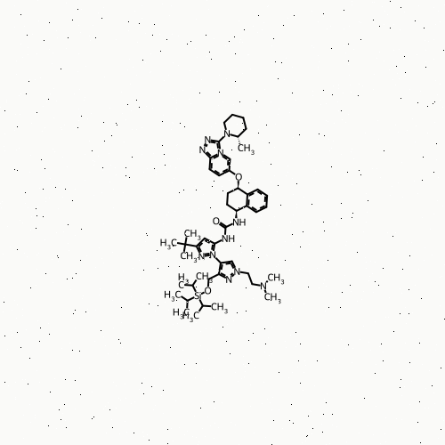 CC(C)[Si](OCc1nn(CCN(C)C)cc1-n1nc(C(C)(C)C)cc1NC(=O)N[C@H]1CC[C@@H](Oc2ccc3nnc(N4CCCC[C@@H]4C)n3c2)c2ccccc21)(C(C)C)C(C)C